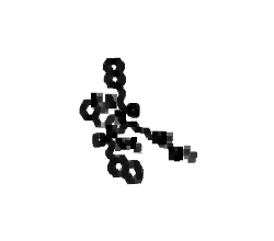 NCCNCCCC[C@H]1CN(C(=O)[C@H](N)Cc2ccc3ccccc3c2)[C@H](CC2CCCCC2)CN1C(=O)[C@H](N)Cc1ccc2ccccc2c1